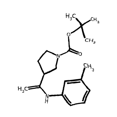 C=C(Nc1cccc(C)c1)C1CCN(C(=O)OC(C)(C)C)C1